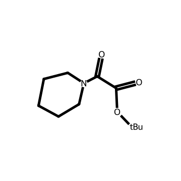 CC(C)(C)OC(=O)C(=O)N1CCCCC1